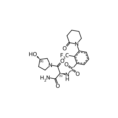 NC(=O)[C@H](NS(=O)(=O)c1cccc(N2CCCCC2=O)c1C(F)(F)F)C(=O)N1CC[C@@H](O)C1